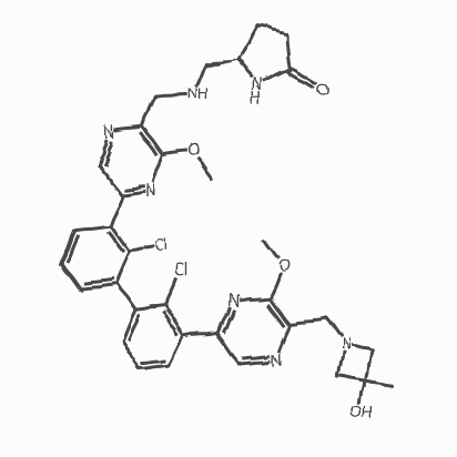 COc1nc(-c2cccc(-c3cccc(-c4cnc(CN5CC(C)(O)C5)c(OC)n4)c3Cl)c2Cl)cnc1CNC[C@H]1CCC(=O)N1